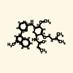 C=CC(=O)NC1CC(Nc2nccc(-c3cn(C)c4ccccc34)n2)=C(OC)C=C1OCCN(C)C